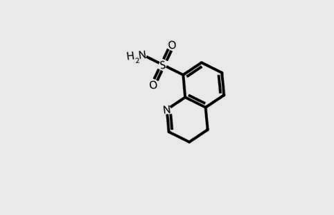 NS(=O)(=O)c1cccc2c1N=CCC2